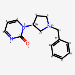 O=c1ncccn1[C@H]1CCN(Cc2ccccc2)C1